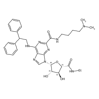 CCNC(=O)[C@H]1O[C@@H](n2cnc3c(NCC(c4ccccc4)c4ccccc4)nc(C(=O)NCCCCN(C)C)nc32)[C@@H](O)[C@@H]1O